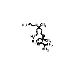 C=CCOC(C)(CCC)CCOC(C)(CC)C(=O)C(=C)C